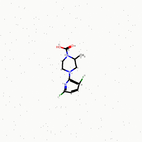 CC1CN(c2nc(F)ccc2F)CCN1C(=O)O